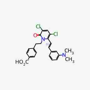 CN(C)c1cccc(/C=C/c2c(Cl)cc(Cl)c(=O)n2CCc2ccc(C(=O)O)cc2)c1